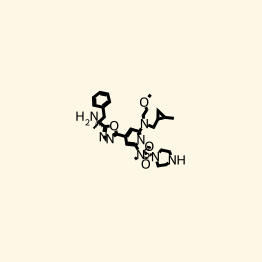 COCCN(CC1CC1C)c1cc(-c2nnc([C@](C)(N)Cc3ccccc3)o2)cc(N(C)S(=O)(=O)N2CCNCC2)n1